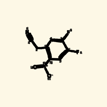 N#CCc1cc(F)c(F)cc1[N+](=O)[O-]